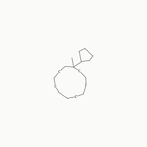 CC1(C2CCCC2)CCCCCCCCCCC1